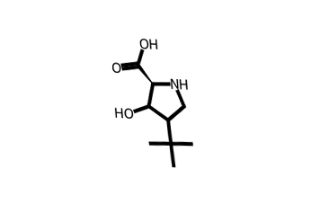 CC(C)(C)C1CN[C@H](C(=O)O)C1O